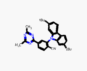 Cc1nc(C)nc(-c2ccc(C#N)c(-n3c4cc(C(C)(C)C)ccc4c4ccc(C(C)(C)C)cc43)c2)n1